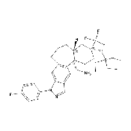 CC[Si](CC)(CC)O[C@]1(C(F)(F)F)CC[C@@]2(CN)c3cc4cnn(-c5ccc(F)cc5)c4cc3CCC[C@@H]2C1